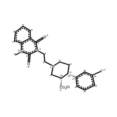 CCOC(=O)[C@@H]1CN(CCn2c(=O)c3ccccc3n(C)c2=O)CC[C@@H]1c1cccc(F)c1